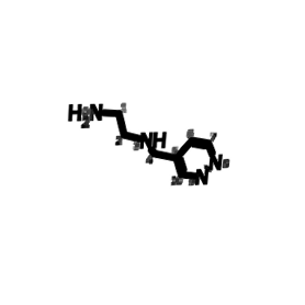 NCCNCc1ccnnc1